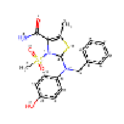 CC1=C(C(N)=O)N(S(C)(=O)=O)C(N(Cc2ccccc2)c2ccc(O)cc2)S1